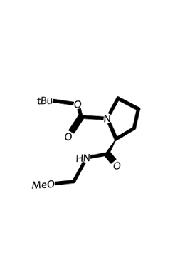 COCNC(=O)[C@@H]1CCCN1C(=O)OC(C)(C)C